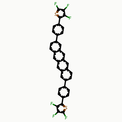 Fc1sc(-c2ccc(-c3ccc4cc5cc6cc(-c7ccc(-c8sc(F)c(F)c8F)cc7)ccc6cc5cc4c3)cc2)c(F)c1F